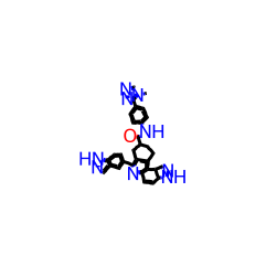 Cn1cnnc1-c1ccc(NC(=O)C2CCc3c(c(-c4ccc5[nH]ncc5c4)nc4c3C3C=NNC3C=C4)C2)cc1